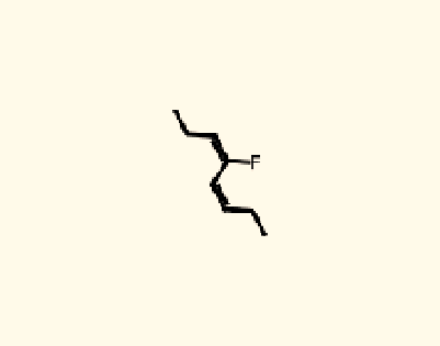 CC/C=C\C(F)=C/CC